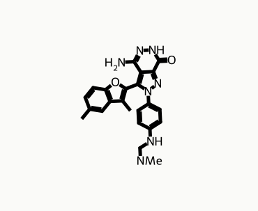 CNCNc1ccc(-n2nc3c(=O)[nH]nc(N)c3c2-c2oc3ccc(C)cc3c2C)cc1